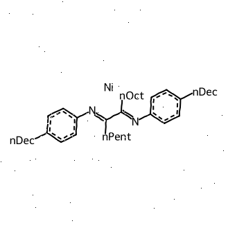 CCCCCCCCCCc1ccc(/N=C(CCCCC)/C(CCCCCCCC)=N/c2ccc(CCCCCCCCCC)cc2)cc1.[Ni]